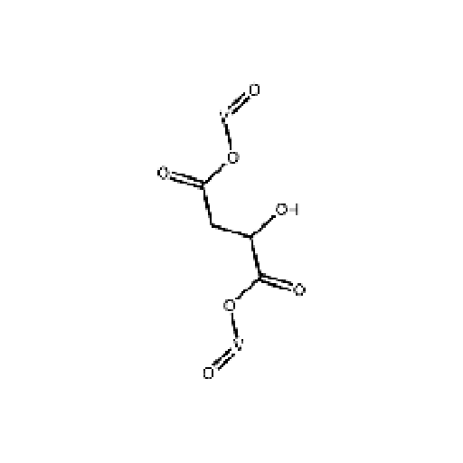 [O]=[V][O]C(=O)CC(O)C(=O)[O][V]=[O]